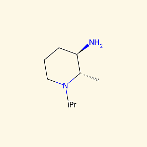 CC(C)N1CCC[C@@H](N)[C@@H]1C